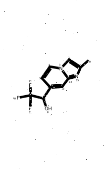 Cc1cn2ccc(C(O)C(F)(F)F)cc2n1